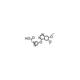 CCOc1cc2ncnc(Oc3cnn(CC(=O)O)c3)c2cc1OC